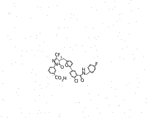 O=C(O)c1cccc(N2N=C(C(F)(F)F)C(Cc3ccc(-c4ccc(Cl)c(C(=O)NCc5ccc(F)cc5)c4)o3)C2=O)c1